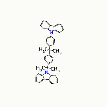 CC(C)(c1ccc(-n2c3ccccc3c3ccccc32)cc1)c1ccc(C(C)(C)n2c3ccccc3c3ccccc32)cc1